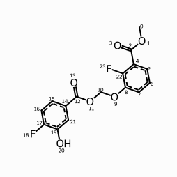 COC(=O)c1cccc(OCOC(=O)c2ccc(F)c(O)c2)c1F